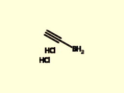 BC#C.Cl.Cl